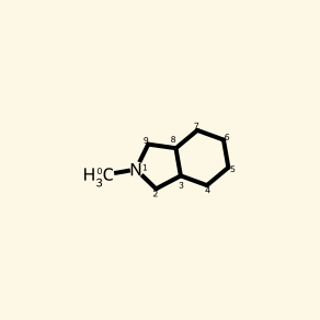 CN1CC2CCCCC2C1